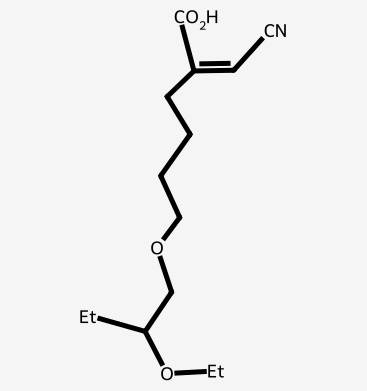 CCOC(CC)COCCCCC(=CC#N)C(=O)O